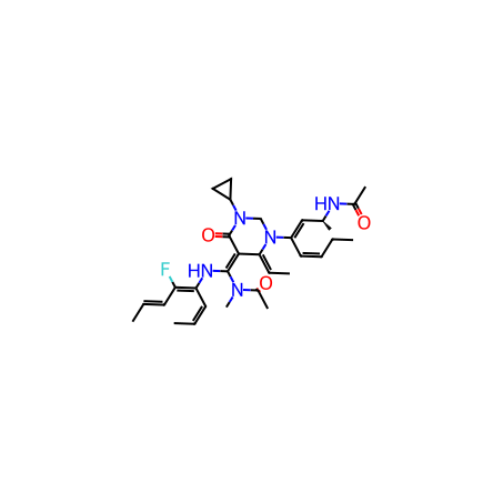 C\C=C/C(N/C(=C1\C(=O)N(C2CC2)CN(C(/C=C\CC)=C/[C@H](C)NC(C)=O)\C1=C/C)N(C)C(C)=O)=C(F)\C=C\C